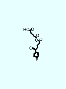 O=C=C(CCCC(=O)OC(=O)CCCC(=O)O)c1ccc(F)cc1